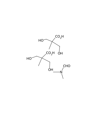 CC(CO)(CO)C(=O)O.CC(CO)(CO)C(=O)O.CN(C)C=O